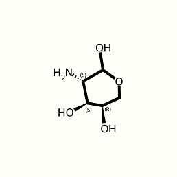 N[C@@H]1C(O)OC[C@@H](O)[C@H]1O